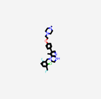 Cc1c(-c2ccc(OCCN3CCN(C)CC3)cc2)cnc2c1N(Cc1c(F)ccc(CF)c1Cl)CCN2